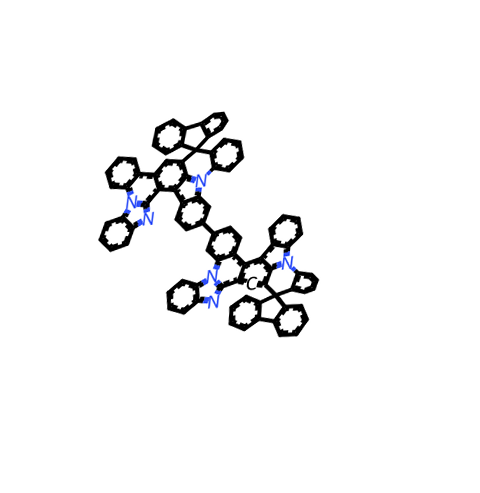 c1ccc2c(c1)-c1ccccc1C21c2ccccc2-n2c3ccccc3c3c4c5ccc(-c6ccc7c8c9c(cc%10c8n(c7c6)-c6ccccc6C%106c7ccccc7-c7ccccc76)c6ccccc6n6c7ccccc7nc96)cc5n5c6ccccc6nc5c4cc1c32